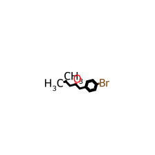 CC(C)CC(=O)Cc1ccc(Br)cc1